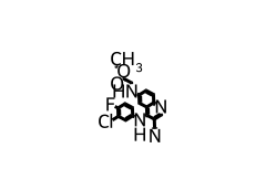 CCOC(=O)CNc1ccc2ncc(C#N)c(Nc3ccc(F)c(Cl)c3)c2c1